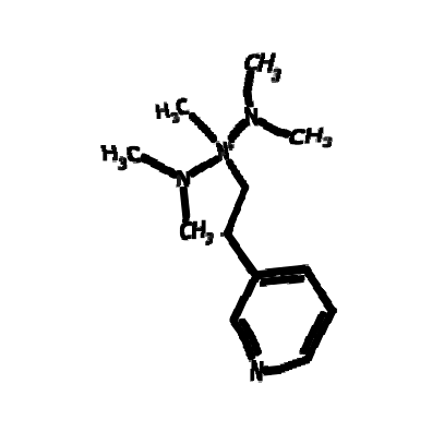 CN(C)[N+](C)(C[CH]c1cccnc1)N(C)C